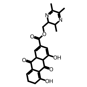 CC1=NC(C)C(COC(=O)C2=CC3C(=O)C4=CCCC(O)=C4C(=O)C3C(O)=C2)N=C1C